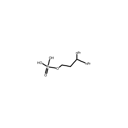 CCCC(CCC)CCOP(=O)(O)O